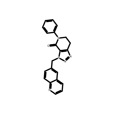 O=C1c2c(nnn2Cc2ccc3ncccc3c2)CCN1c1ccccc1